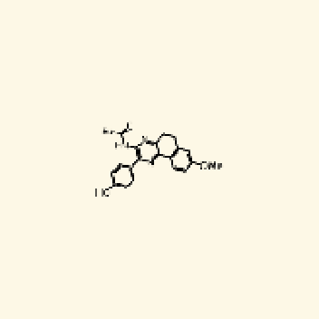 CCC(C)C(=O)Nc1nc2c(nc1-c1ccc(O)cc1)-c1ccc(OC)cc1CC2